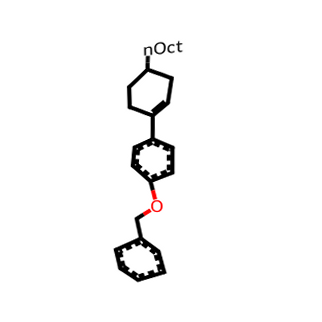 CCCCCCCCC1CC=C(c2ccc(OCc3ccccc3)cc2)CC1